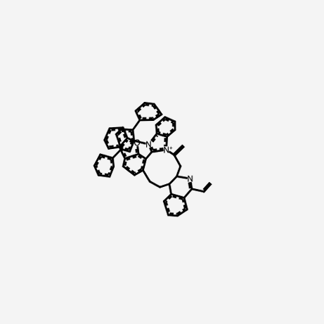 C=CC1=NC2CC(=C)[n+]3c(n(-c4cc(-c5ccccc5)ccc4-c4ccccc4)c4ccccc43)-c3c(ccc4c3oc3ccccc34)CCC2c2ccccc21